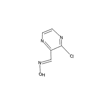 O/N=C/c1nccnc1Cl